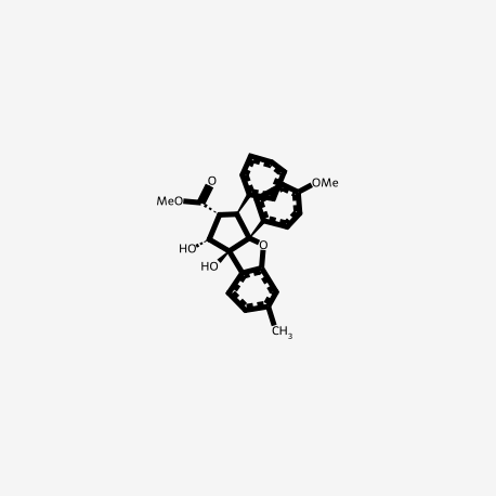 COC(=O)[C@H]1[C@@H](O)[C@@]2(O)c3ccc(C)cc3O[C@@]2(c2ccc(OC)cc2)[C@@H]1c1ccccc1